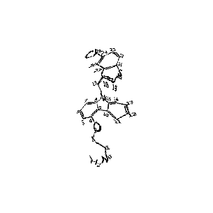 NCCOc1cccc2c1c1ccccc1n2Cc1csc2ccc(Cl)cc12